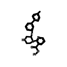 Cc1ccc(-c2cccc(CC3CNCCN3c3ncccc3C(=O)OC(C)C)c2)cc1